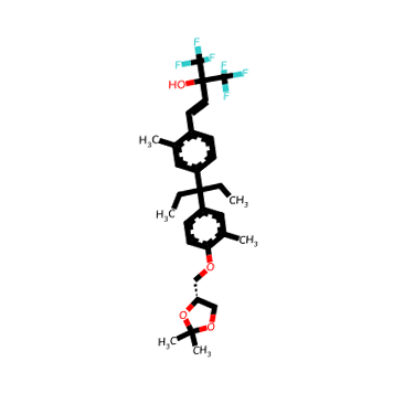 CCC(CC)(c1ccc(/C=C/C(O)(C(F)(F)F)C(F)(F)F)c(C)c1)c1ccc(OC[C@@H]2COC(C)(C)O2)c(C)c1